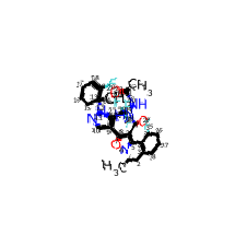 CCCC1=C(c2noc(-c3cnn(C4(C)CC=CC=C4F)c3C(F)(F)F)c2C(=O)NNC(C)=O)C(F)CC=C1